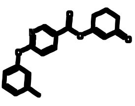 Cc1cccc(Oc2ccc(C(=O)OC3=CC(=O)CCC3)cn2)c1